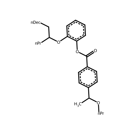 CCCCCCCCCCCC(CCC)Oc1ccccc1OC(=O)c1ccc(C(C)OCCC)cc1